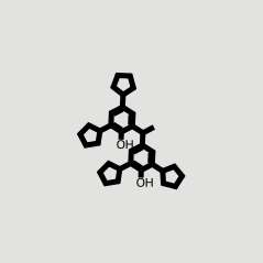 CC(c1cc(C2CCCC2)c(O)c(C2CCCC2)c1)c1cc(C2CCCC2)cc(C2CCCC2)c1O